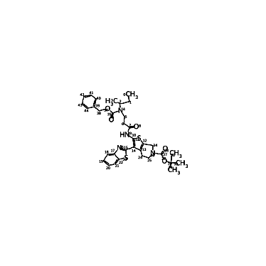 CCC(C)N(CCC(=O)Nc1sc2c(c1-c1nc3ccccc3s1)CCN(C(=O)OC(C)(C)C)C2)C(=O)OCc1ccccc1